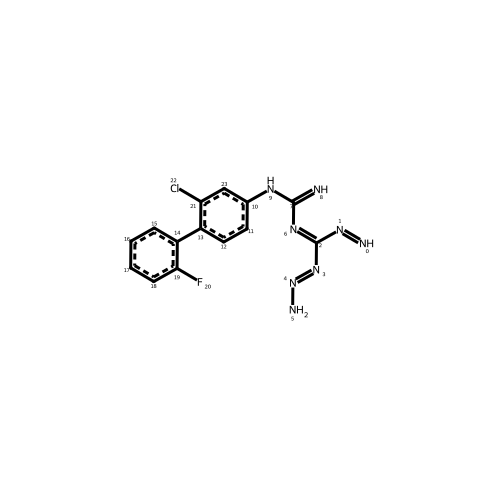 N=N/C(N=NN)=N\C(=N)Nc1ccc(-c2ccccc2F)c(Cl)c1